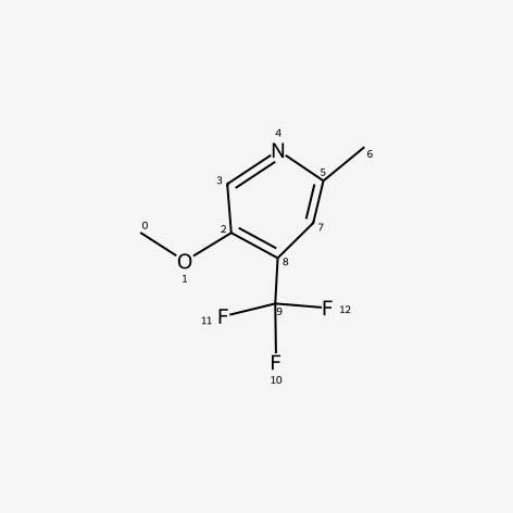 COc1cnc(C)cc1C(F)(F)F